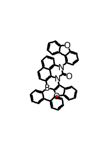 O=C1N2c3c(oc4ccccc34)B(c3ccccc3-c3ccccc3)c3ccc4cccc(c4c32)N1c1cccc2oc3ccccc3c12